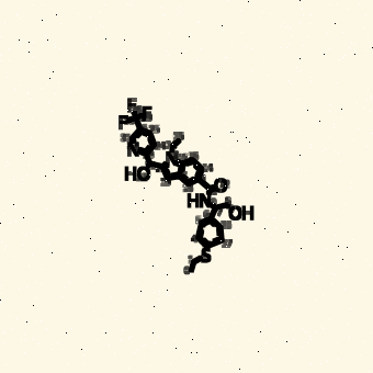 CCSc1ccc(C(CO)NC(=O)c2ccc3c(c2)cc(C(O)c2ccc(C(F)(F)F)cn2)n3CC)cc1